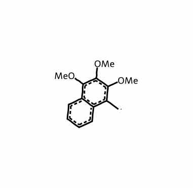 [CH2]c1c(OC)c(OC)c(OC)c2ccccc12